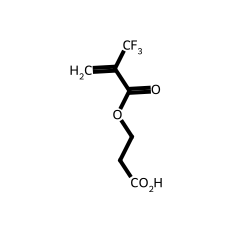 C=C(C(=O)OCCC(=O)O)C(F)(F)F